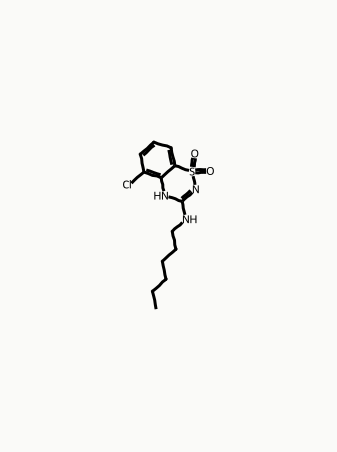 CCCCCCNC1=NS(=O)(=O)c2cccc(Cl)c2N1